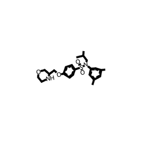 Cc1cc(C)cc(N(CC(C)C)S(=O)(=O)c2ccc(OCC3COCCN3)cc2)c1